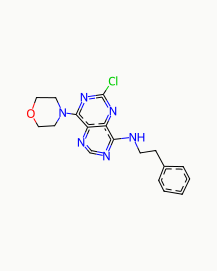 Clc1nc(N2CCOCC2)c2ncnc(NCCc3ccccc3)c2n1